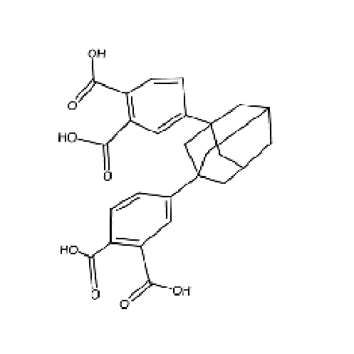 O=C(O)c1ccc(C23CC4CC(C2)CC(c2ccc(C(=O)O)c(C(=O)O)c2)(C4)C3)cc1C(=O)O